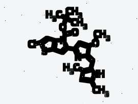 COC1=CC(c2cc3sc(Cl)cc3n2C(=O)OC(C)(C)C)=N/C1=C\c1[nH]c(C)cc1C